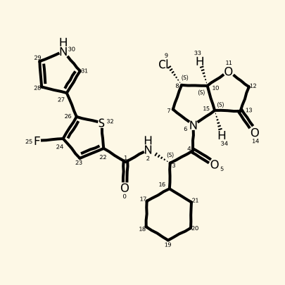 O=C(N[C@H](C(=O)N1C[C@H](Cl)[C@H]2OCC(=O)[C@H]21)C1CCCCC1)c1cc(F)c(-c2cc[nH]c2)s1